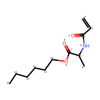 C=CC(=O)NC(C)C(=O)OCCCCCC